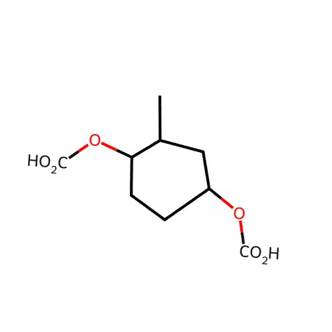 CC1CC(OC(=O)O)CCC1OC(=O)O